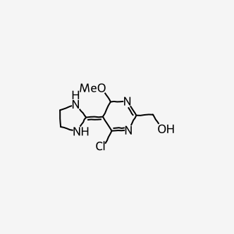 COC1N=C(CO)N=C(Cl)C1=C1NCCN1